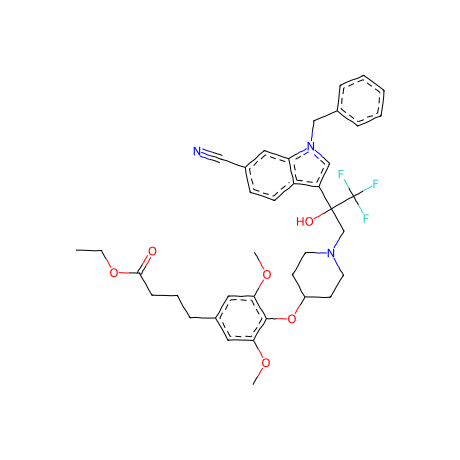 CCOC(=O)CCCc1cc(OC)c(OC2CCN(CC(O)(c3cn(Cc4ccccc4)c4cc(C#N)ccc34)C(F)(F)F)CC2)c(OC)c1